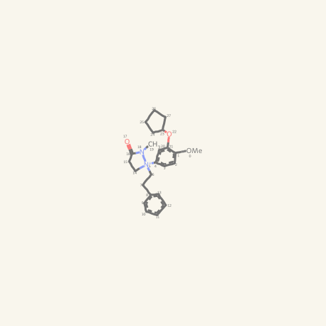 COc1ccc([N+]2(CCc3ccccc3)CCC(=O)N2C)cc1OC1CCCC1